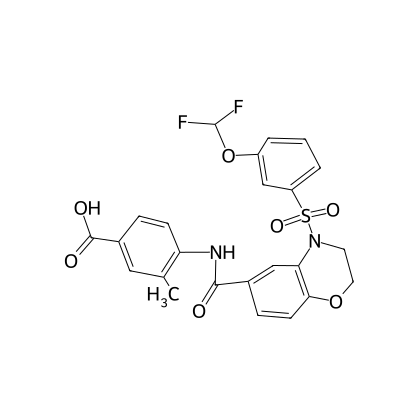 Cc1cc(C(=O)O)ccc1NC(=O)c1ccc2c(c1)N(S(=O)(=O)c1cccc(OC(F)F)c1)CCO2